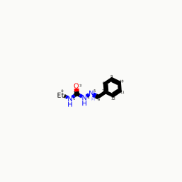 CCNC(=O)N/N=C/c1ccccc1